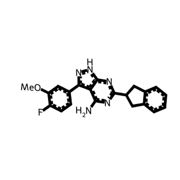 COc1cc(-c2n[nH]c3nc(C4Cc5ccccc5C4)nc(N)c23)ccc1F